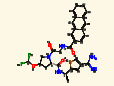 C[C@@H](NC(=O)[C@@H]1C[C@@H](OC(F)F)CN1C(=O)CNC(=O)c1ccc2cc3ccccc3cc2c1)c1cc(C(=N)N)cs1